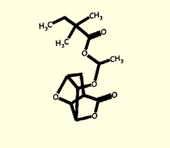 CCC(C)(C)C(=O)OC(C)OC1C2CC3C(=O)OC1C3O2